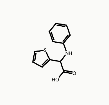 O=C(O)C(Nc1ccccc1)c1cccs1